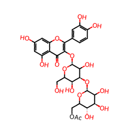 CC(=O)OCC1O[C@@H](O[C@@H]2C(O)[C@H](Oc3c(-c4ccc(O)c(O)c4)oc4cc(O)cc(O)c4c3=O)OC(CO)[C@@H]2O)C(O)[C@@H](O)[C@@H]1O